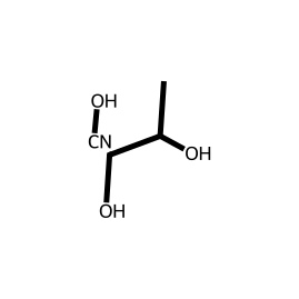 CC(O)CO.N#CO